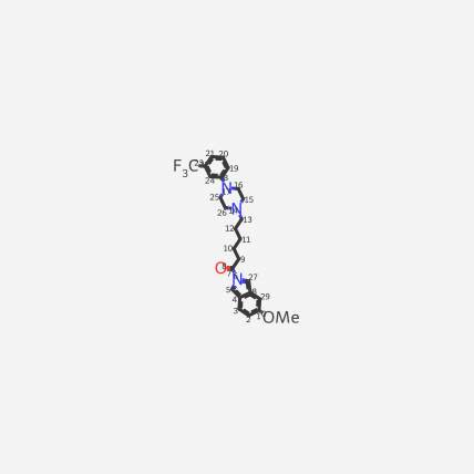 COc1ccc2cn(C(=O)CCCCCN3CCN(c4cccc(C(F)(F)F)c4)CC3)cc2c1